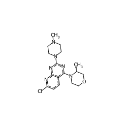 C[C@H]1COCCN1c1nc(N2CCN(C)CC2)nc2nc(Cl)ccc12